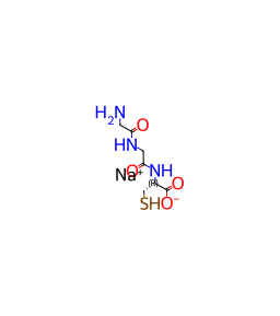 NCC(=O)NCC(=O)N[C@@H](CS)C(=O)[O-].[Na+]